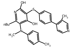 CCCCc1nc(O)c(Sc2ccc(-c3ccncc3C)cc2)c(O)c1N(C)c1ccc(C)cc1